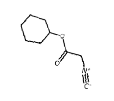 [C-]#[N+]CC(=O)OC1CCCCC1